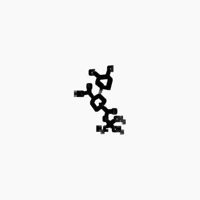 CC(C)(C)OC(=O)N1CC[C@@H](C(=O)O)[C@H](c2ccc(Cl)c(Cl)c2)C1